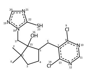 CC1(C)CCC(Cc2c(Cl)ncnc2Cl)C1(O)Cn1ncnc1S